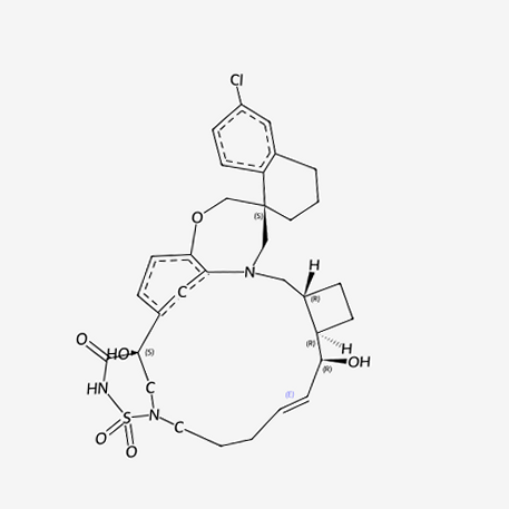 O=C1NS(=O)(=O)N2CCC/C=C/[C@H](O)[C@@H]3CC[C@H]3CN3C[C@@]4(CCCc5cc(Cl)ccc54)COc4ccc(cc43)[C@]1(O)C2